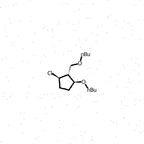 CCCCOC[C@H]1[C@H](Cl)CC[C@@H]1OCCCC